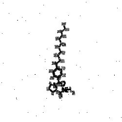 C=C(N)C1CCCN1C(=O)c1ccc(CCCCCCCCCCC)cc1